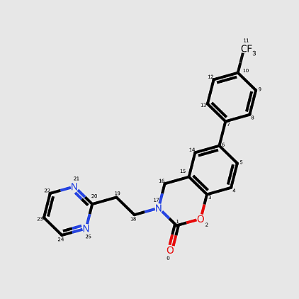 O=C1Oc2ccc(-c3ccc(C(F)(F)F)cc3)cc2CN1CCc1ncccn1